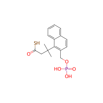 CC(C)(CC(=O)S)c1c(COP(=O)(O)O)ccc2ccccc12